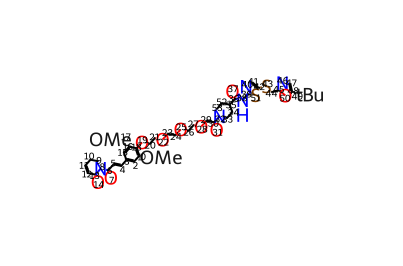 COc1cc(C=CC(=O)N2CCC=CC2=O)cc(OC)c1OCCOCCOCCOCC(=O)N1CCC(C(=O)Nc2ncc(SCc3ncc(C(C)(C)C)o3)s2)CC1